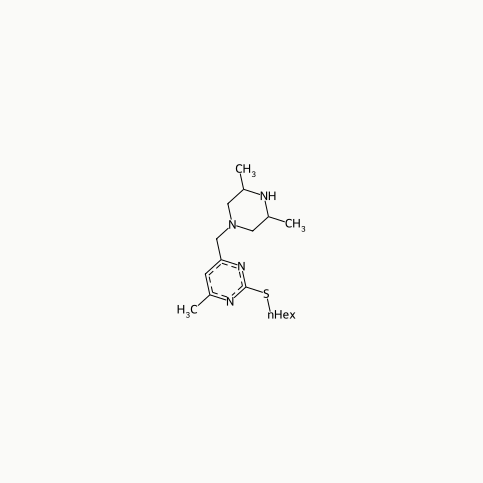 CCCCCCSc1nc(C)cc(CN2CC(C)NC(C)C2)n1